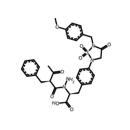 COc1ccc(CN2C(=O)CN(c3ccc(C[C@@H](C(=O)O)N(N)C(=O)[C@@H](Cc4ccccc4)C(C)=O)cc3)S2(=O)=O)cc1